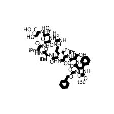 CC[C@H](C)[C@H](NC(=O)[C@@H](CCCNC(=N)N)NC(=O)[C@H](CC(C)C)NC(=O)[C@@H](NC(=O)[C@@H](NC(=O)OCc1ccccc1)[C@H](NC(=O)OC(C)(C)C)c1ccccc1)[C@H](O)C(C)C)C(=O)N[C@H](C(=O)NCC(=O)N[C@@H](CO)C(=O)N[C@@H](CO)C(=O)O)C(C)C